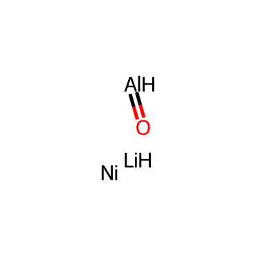 [LiH].[Ni].[O]=[AlH]